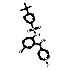 CC(C)(C)c1ccc(S(=O)(=O)Nc2ccc(Cl)cc2C(O)c2cc[n+]([O-])cc2)cc1